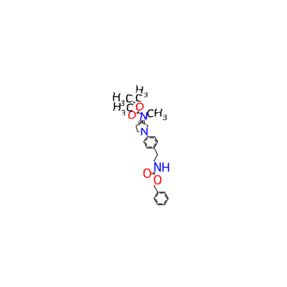 CN(C(=O)OC(C)(C)C)[C@@H]1CCN(c2ccc(CCNC(=O)OCc3ccccc3)cc2)C1